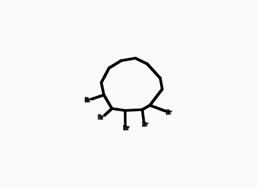 BrC1CCCCCCCC(Br)C(Br)C(Br)C1Br